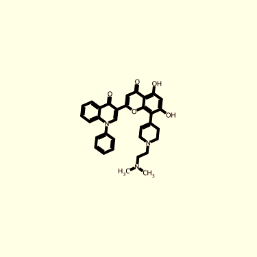 CN(C)CCN1CC=C(c2c(O)cc(O)c3c(=O)cc(-c4cn(-c5ccccc5)c5ccccc5c4=O)oc23)CC1